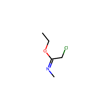 CCO/C(CCl)=N/C